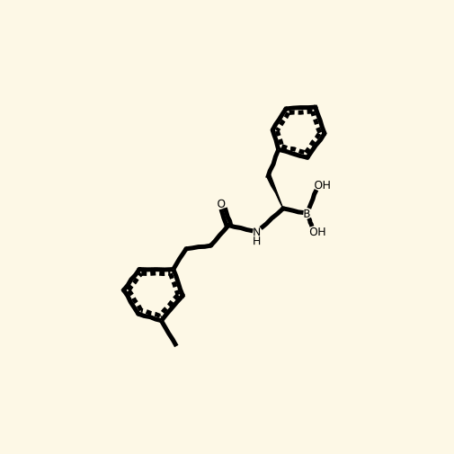 Cc1cccc(CCC(=O)N[C@@H](Cc2ccccc2)B(O)O)c1